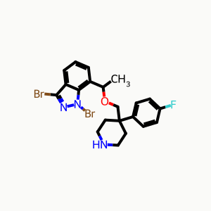 CC(OCC1(c2ccc(F)cc2)CCNCC1)c1cccc2c(Br)nn(Br)c12